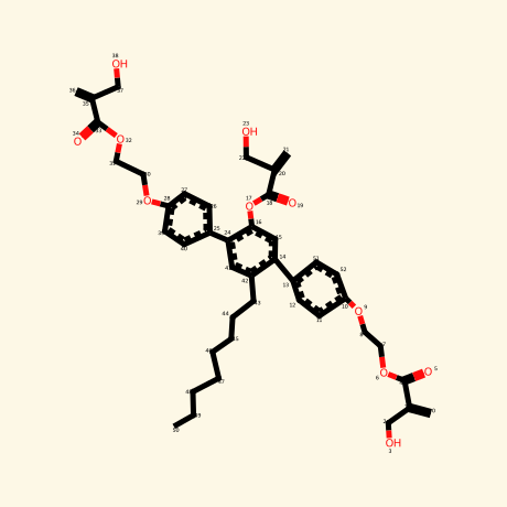 C=C(CO)C(=O)OCCOc1ccc(-c2cc(OC(=O)C(=C)CO)c(-c3ccc(OCCOC(=O)C(=C)CO)cc3)cc2CCCCCCCC)cc1